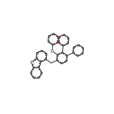 c1ccc(Oc2c(Cc3cccc4sc5ccccc5c34)ccc(-c3ccccc3)c2-c2ccccc2)cc1